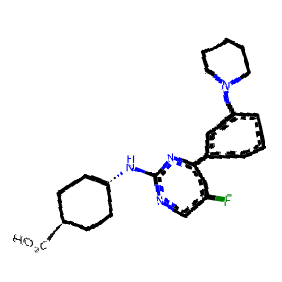 O=C(O)[C@H]1CC[C@H](Nc2ncc(F)c(-c3cccc(N4CCCCC4)c3)n2)CC1